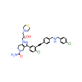 NC(=O)N1CCc2c(c(-c3ccc(Cl)c(C#Cc4ccc(CNCc5ccc(Cl)cc5)cc4)c3)nn2C[C@@H](O)CN2CCSCC2)C1